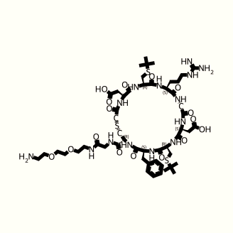 CC(C)(C)SC[C@@H]1NC(=O)[C@H](CC(=O)O)NC(=O)CSC[C@@H](C(=O)NCC(=O)NCCOCCOCCN)NC(=O)[C@H](Cc2ccccc2)NC(=O)[C@H](CSC(C)(C)C)NC(=O)[C@H](CC(=O)O)NC(=O)CNC(=O)[C@H](CCCNC(=N)N)NC1=O